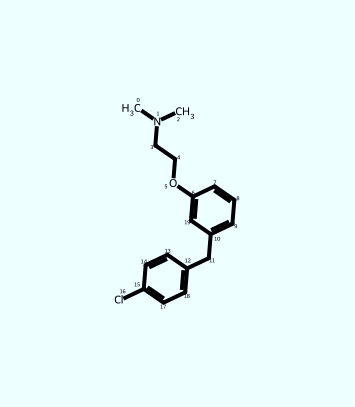 CN(C)CCOc1[c]ccc(Cc2ccc(Cl)cc2)c1